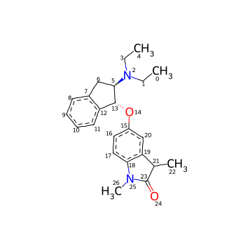 CCN(CC)[C@@H]1Cc2ccccc2[C@H]1Oc1ccc2c(c1)C(C)C(=O)N2C